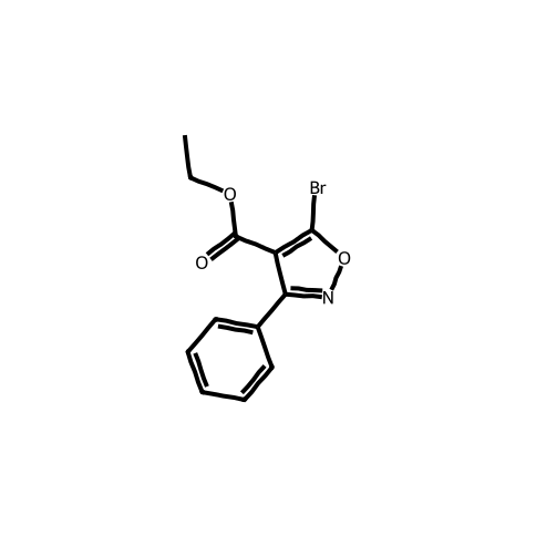 CCOC(=O)c1c(-c2ccccc2)noc1Br